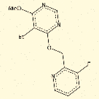 CCc1c(OC)ncnc1OCc1ncccc1F